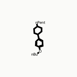 CCCCCC1CCC(c2ccc(OCCCC)cc2)CC1